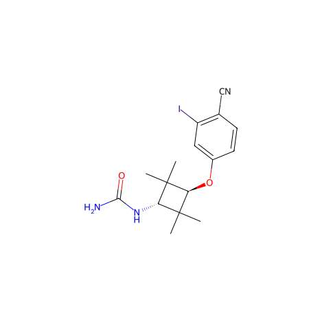 CC1(C)[C@H](NC(N)=O)C(C)(C)[C@H]1Oc1ccc(C#N)c(I)c1